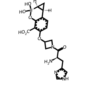 N[C@H](Cc1c[nH]cn1)C(=O)N1CC(Oc2ccc3c(c2C(=O)O)O[B-](O)(O)[C@H]2C[C@@H]32)C1